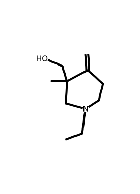 C=C1CCN(CC)CC1(C)CO